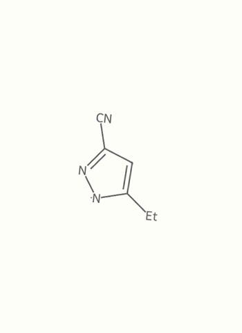 CCC1=CC(C#N)=N[N]1